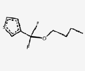 CCCCOC(F)(F)c1ccsc1